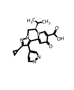 CC(C)[C@@H]1Cn2nc(C3CC3)c(-c3ccnnc3)c2-c2cc(=O)c(C(=O)O)cn21